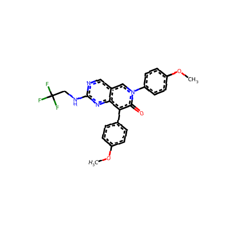 COc1ccc(-c2c(=O)n(-c3ccc(OC)cc3)cc3cnc(NCC(F)(F)F)nc23)cc1